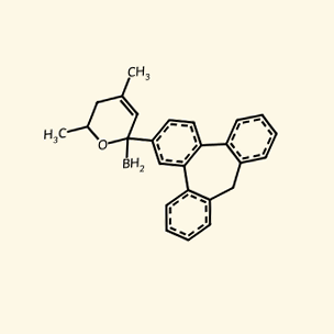 BC1(c2ccc3c(c2)-c2ccccc2Cc2ccccc2-3)C=C(C)CC(C)O1